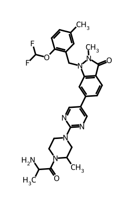 Cc1ccc(OC(F)F)c(Cn2c3cc(-c4cnc(N5CCN(C(=O)C(C)N)C(C)C5)nc4)ccc3c(=O)n2C)c1